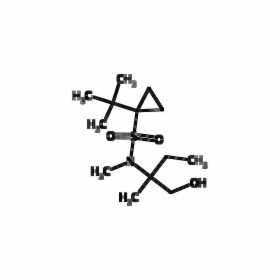 CCC(C)(CO)N(C)S(=O)(=O)C1(C(C)(C)C)CC1